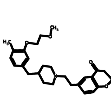 COCCOc1cc(CC2CCN(CCc3ccc4c(c3)C(=O)CCO4)CC2)ccc1C